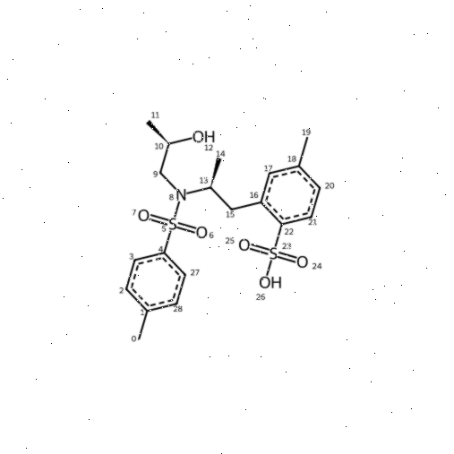 Cc1ccc(S(=O)(=O)N(C[C@@H](C)O)[C@@H](C)Cc2cc(C)ccc2S(=O)(=O)O)cc1